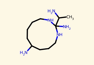 CC(N)C1(N)NCCCCC(N)CCCN1